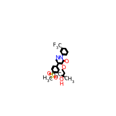 CC(C)(O)CCOc1c(-c2ccc(S(C)(=O)=O)cc2)cnn(-c2cccc(C(F)(F)F)c2)c1=O